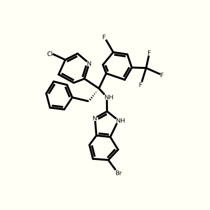 Fc1cc(C(F)(F)F)cc([C@@](Cc2ccccc2)(Nc2nc3ccc(Br)cc3[nH]2)c2ccc(Cl)cn2)c1